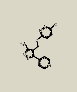 Cc1onc(-c2ccncc2)c1COc1ccc(Cl)nn1